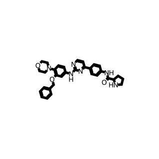 O=C(Nc1ccc(-c2ccnc(Nc3ccc(N4CCOCC4)c(OCc4ccccc4)c3)n2)cc1)C1CCCN1